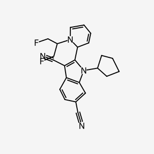 N#Cc1ccc2c(C#N)c(C3C=CC=CN3C(CF)CF)n(C3CCCC3)c2c1